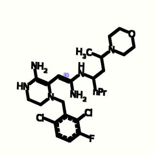 CCCC(CC(C)N1CCOCC1)N/C(N)=C/C1=C(N)NCCN1Cc1c(Cl)ccc(F)c1Cl